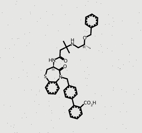 C[C@H](CNC(C)(C)CC(=O)N[C@@H]1CSc2ccccc2N(Cc2ccc(-c3ccccc3C(=O)O)cc2)C1=O)OCc1ccccc1